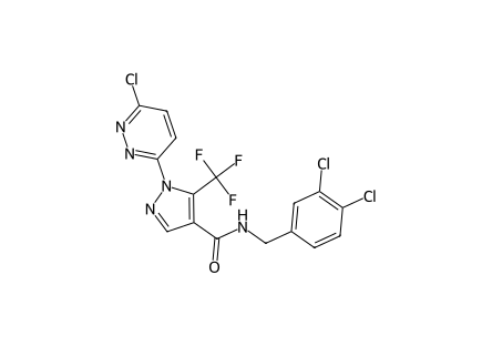 O=C(NCc1ccc(Cl)c(Cl)c1)c1cnn(-c2ccc(Cl)nn2)c1C(F)(F)F